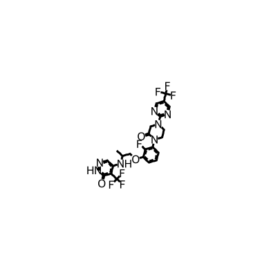 CC(COc1cccc(N2CCN(c3ncc(C(F)(F)F)cn3)CC2=O)c1F)Nc1cn[nH]c(=O)c1C(F)(F)F